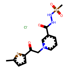 Cc1ccc(C(=O)C[n+]2cccc(C(=O)NNS(C)(=O)=O)c2)s1.[Cl-]